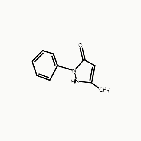 [CH2]c1cc(=O)n(-c2ccccc2)[nH]1